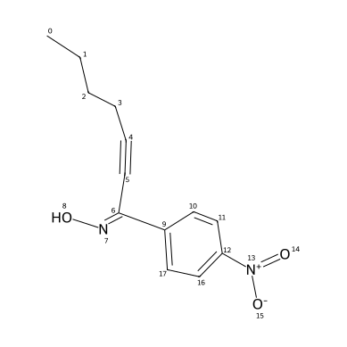 CCCCC#C/C(=N\O)c1ccc([N+](=O)[O-])cc1